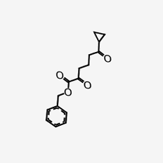 O=C(CCCC(=O)C1CC1)C(=O)OCc1ccccc1